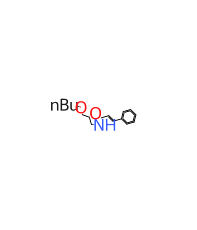 CCCCOCC1CNC(/C=C/c2ccccc2)O1